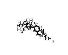 CSc1ncc2cc(B3OC(C)(C)C(C)(C)O3)ccc2n1